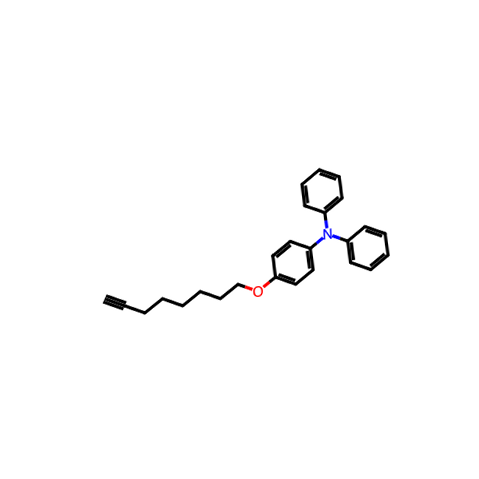 C#CCCCCCCOc1ccc(N(c2ccccc2)c2ccccc2)cc1